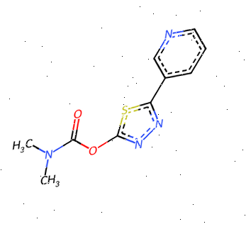 CN(C)C(=O)Oc1nnc(-c2cccnc2)s1